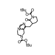 CC(C)(C)OC(=O)N1CCn2cnc(CC3CCCN(C(=O)OC(C)(C)C)C3=O)c2C1